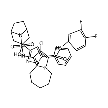 O=C(Nc1ccc(F)c(F)c1)c1c(Cl)c(NS(=O)(=O)N2C3CCC2CC(O)(c2cc(-c4ccccc4)on2)C3)c2n1CCCCC2